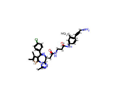 Cc1sc2c(c1C)C(c1ccc(Cl)cc1)=N[C@@H](CC(=O)NCCC(=O)Nc1ccc(C#CCN)c(C(=O)O)c1)c1nnc(C)n1-2